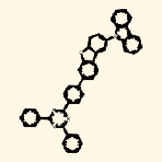 C1=C2c3ccc(-c4ccc(-c5nc(-c6ccccc6)nc(-c6ccccc6)n5)cc4)cc3OC2CC=C1n1c2ccccc2c2ccccc21